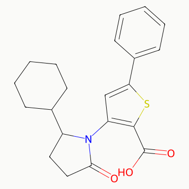 O=C(O)c1sc(-c2ccccc2)cc1N1C(=O)CCC1C1CCCCC1